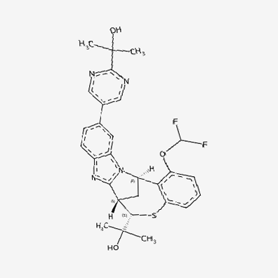 CC(C)(O)c1ncc(-c2ccc3nc4n(c3c2)[C@@H]2C[C@@H]4[C@@H](C(C)(C)O)Sc3cccc(OC(F)F)c32)cn1